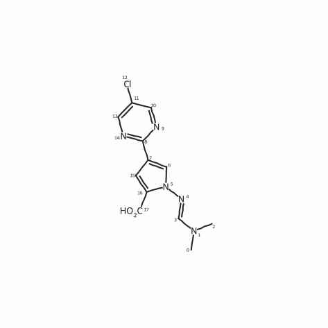 CN(C)C=Nn1cc(-c2ncc(Cl)cn2)cc1C(=O)O